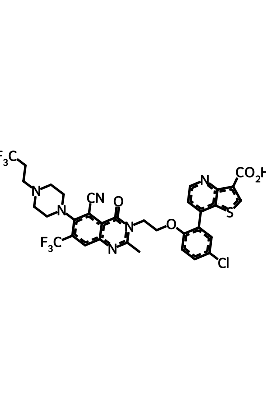 Cc1nc2cc(C(F)(F)F)c(N3CCN(CCC(F)(F)F)CC3)c(C#N)c2c(=O)n1CCOc1ccc(Cl)cc1-c1ccnc2c(C(=O)O)csc12